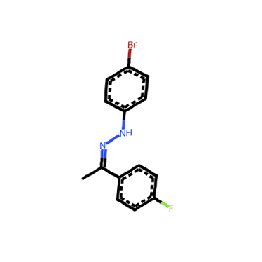 C/C(=N/Nc1ccc(Br)cc1)c1ccc(F)cc1